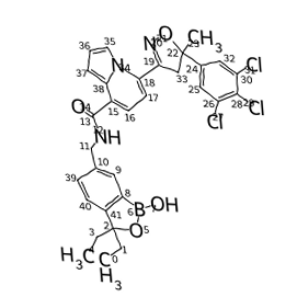 CCC1(CC)OB(O)c2cc(CNC(=O)c3ccc(C4=NOC(C)(c5cc(Cl)c(Cl)c(Cl)c5)C4)n4cccc34)ccc21